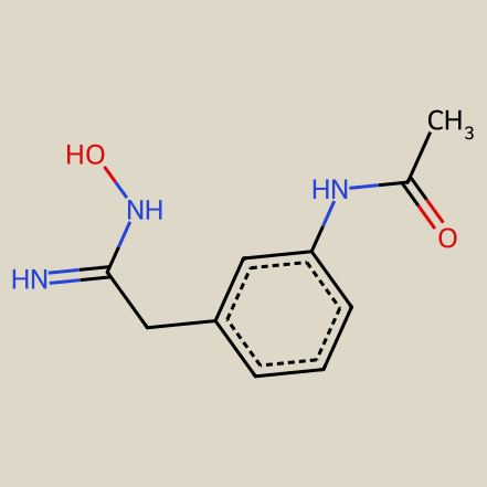 CC(=O)Nc1cccc(CC(=N)NO)c1